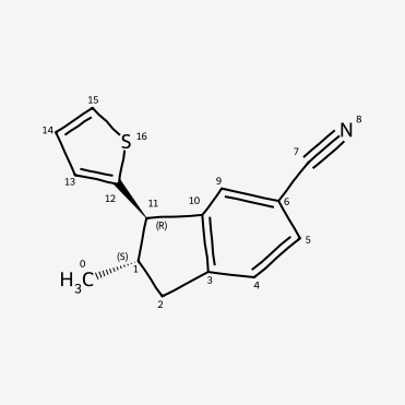 C[C@H]1Cc2ccc(C#N)cc2[C@@H]1c1cccs1